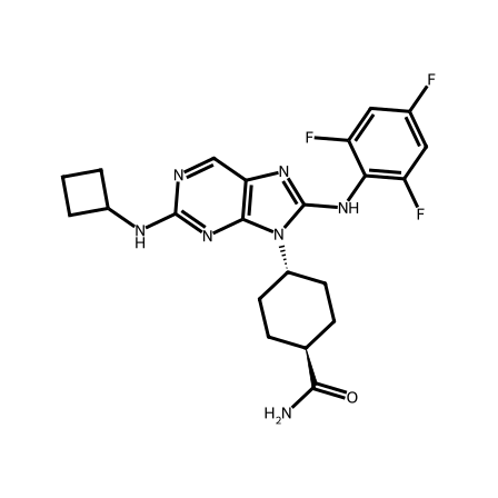 NC(=O)[C@H]1CC[C@H](n2c(Nc3c(F)cc(F)cc3F)nc3cnc(NC4CCC4)nc32)CC1